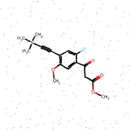 COC(=O)CC(=O)c1cc(OC)c(C#C[Si](C)(C)C)cc1F